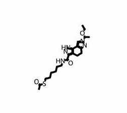 CCOC(C)n1cc2c(n1)CCc1c(C(=O)NCCCCCCSC(C)=O)n[nH]c1-2